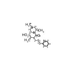 CC(C(=O)O)C(CSSc1ccccn1)C(=O)N1CCN(C)CC1C